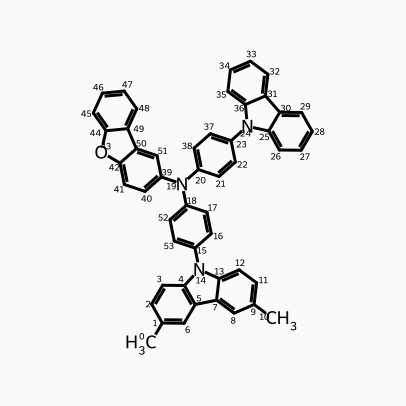 Cc1ccc2c(c1)c1cc(C)ccc1n2-c1ccc(N(c2ccc(-n3c4ccccc4c4ccccc43)cc2)c2ccc3oc4ccccc4c3c2)cc1